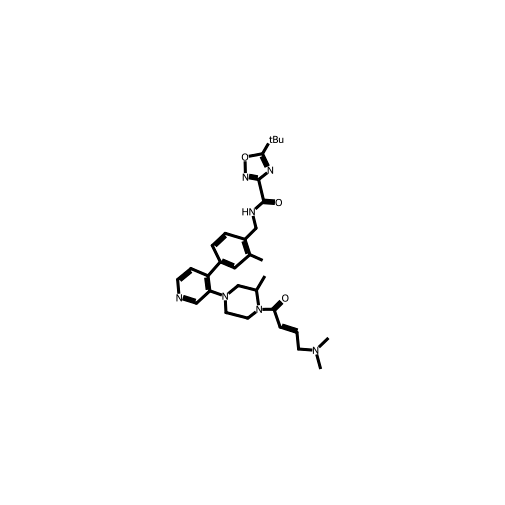 Cc1cc(-c2ccncc2N2CCN(C(=O)C=CCN(C)C)C(C)C2)ccc1CNC(=O)c1noc(C(C)(C)C)n1